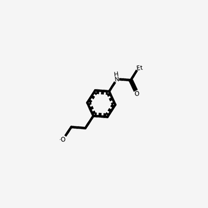 CCC(=O)Nc1ccc(CC[O])cc1